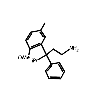 COc1ccc(C)cc1C(CCN)(c1ccccc1)C(C)C